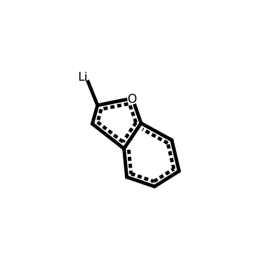 [Li][c]1cc2ccccc2o1